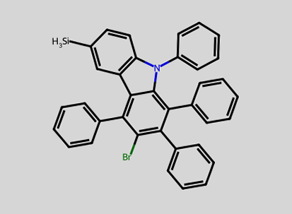 [SiH3]c1ccc2c(c1)c1c(-c3ccccc3)c(Br)c(-c3ccccc3)c(-c3ccccc3)c1n2-c1ccccc1